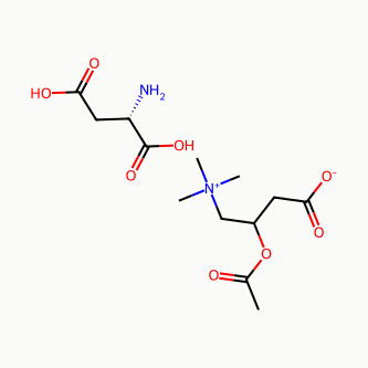 CC(=O)OC(CC(=O)[O-])C[N+](C)(C)C.N[C@@H](CC(=O)O)C(=O)O